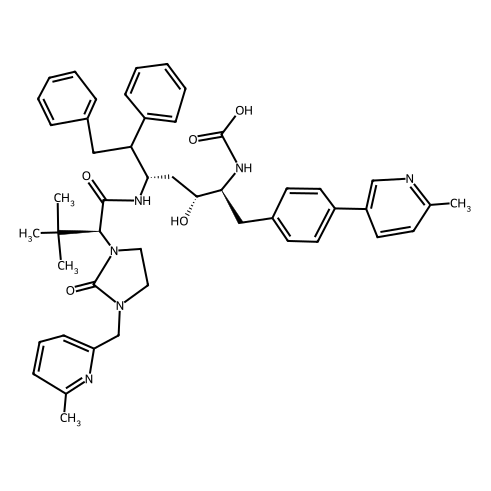 Cc1ccc(-c2ccc(C[C@H](NC(=O)O)[C@H](O)C[C@H](NC(=O)[C@@H](N3CCN(Cc4cccc(C)n4)C3=O)C(C)(C)C)C(Cc3ccccc3)c3ccccc3)cc2)cn1